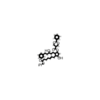 CC(C)OC(=O)CCCC=CCC1C(O)CC(OC(=O)C2COC(c3ccccc3)OC2)C1CCC(O)CCc1ccccc1